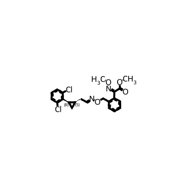 CON=C(C(=O)OC)c1ccccc1CON=CC[C@@H]1C[C@H]1c1c(Cl)cccc1Cl